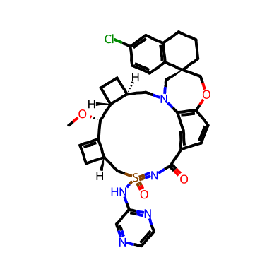 CO[C@H]1C2=CC[C@H]2CS(=O)(Nc2cnccn2)=NC(=O)c2ccc3c(c2)N(C[C@@H]2CC[C@H]21)C[C@@]1(CCCc2cc(Cl)ccc21)CO3